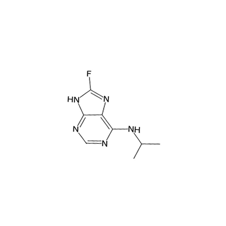 CC(C)Nc1ncnc2[nH]c(F)nc12